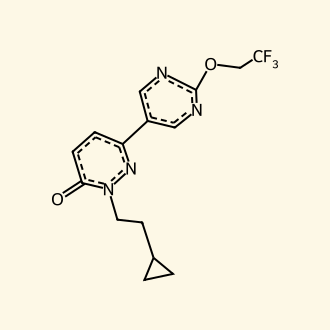 O=c1ccc(-c2cnc(OCC(F)(F)F)nc2)nn1CCC1CC1